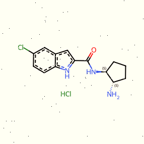 Cl.N[C@H]1CCC[C@@H]1NC(=O)c1cc2cc(Cl)ccc2[nH]1